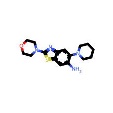 Nc1cc2sc(N3CCOCC3)nc2cc1N1CCCCC1